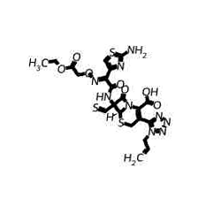 C=CCn1nnnc1C1=C(C(=O)O)N2C(=O)C(C=S)(NC(=O)C(=NOCC(=O)OCC)c3csc(N)n3)[C@@H]2SC1